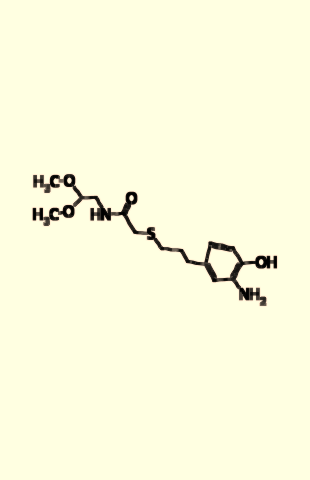 COC(CNC(=O)CSCCCc1ccc(O)c(N)c1)OC